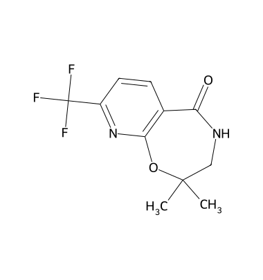 CC1(C)CNC(=O)c2ccc(C(F)(F)F)nc2O1